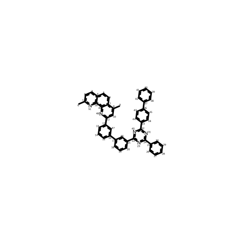 Cc1ccc2ccc3c(C)cc(-c4cccc(-c5cccc(-c6nc(-c7ccccc7)nc(-c7ccc(-c8ccccc8)cc7)n6)c5)c4)nc3c2n1